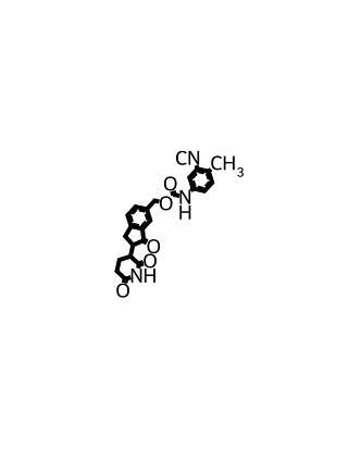 Cc1ccc(NC(=O)OCc2ccc3c(c2)C(=O)C(C2CCC(=O)NC2=O)C3)cc1C#N